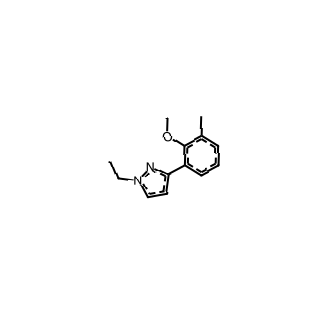 CCn1ccc(-c2cccc(C)c2OC)n1